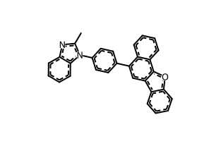 Cc1nc2ccccc2n1-c1ccc(-c2cc3c4ccccc4oc3c3ccccc23)cc1